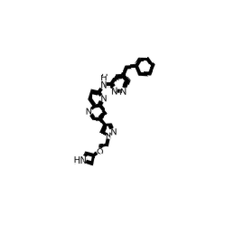 c1nnc(Nc2ccc3ncc(-c4cnn(CCOC5CNC5)c4)cc3n2)cc1CC1CCCCC1